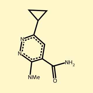 CNc1nnc(C2CC2)cc1C(N)=O